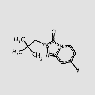 CC(C)(C)Cn1nc2cc(I)ccn2c1=O